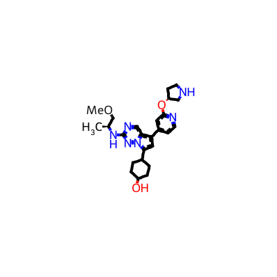 COC[C@H](C)Nc1ncc2c(-c3ccnc(O[C@@H]4CCNC4)c3)cc(C3CCC(O)CC3)n2n1